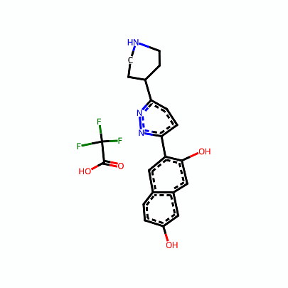 O=C(O)C(F)(F)F.Oc1ccc2cc(-c3ccc(C4CCNCC4)nn3)c(O)cc2c1